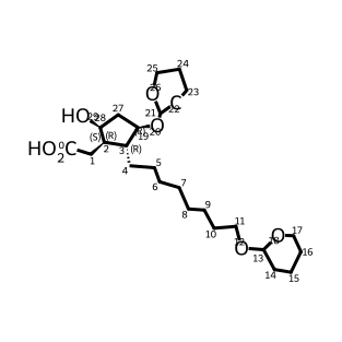 O=C(O)C[C@@H]1[C@@H](CCCCCCCCOC2CCCCO2)[C@H](OC2CCCCO2)C[C@@H]1O